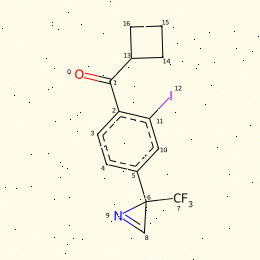 O=C(c1ccc(C2(C(F)(F)F)C=N2)cc1I)C1CCC1